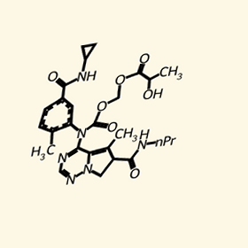 CCCNC(=O)C1CN2N=CN=C(N(C(=O)OCOC(=O)C(C)O)c3cc(C(=O)NC4CC4)ccc3C)C2=C1C